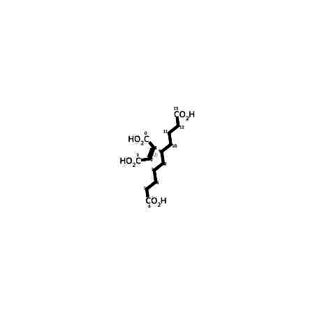 O=C(O)/C=C\C(=O)O.O=C(O)CCCCCCCCC(=O)O